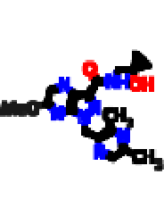 COc1cnc2c(C(=O)NCC3(O)CC3)nn(Cc3ncc(C)nc3C)c2n1